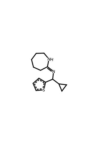 c1csc(C(N=C2CCCCCN2)C2CC2)c1